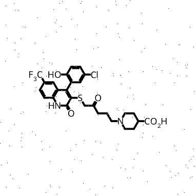 O=C(CCCN1CCC(C(=O)O)CC1)CSc1c(-c2cc(Cl)ccc2O)c2cc(C(F)(F)F)ccc2[nH]c1=O